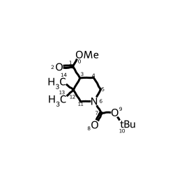 COC(=O)C1CCN(C(=O)OC(C)(C)C)CC1(C)C